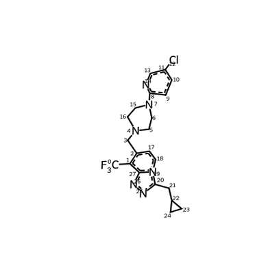 FC(F)(F)c1c(CN2CCN(c3ccc(Cl)cn3)CC2)ccn2c(CC3CC3)nnc12